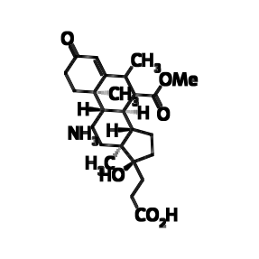 COC(=O)C1C(C)C2=CC(=O)CC[C@]2(C)[C@H]2CC[C@@]3(C)[C@@H](CC[C@]3(O)CCC(=O)O)[C@H]12.N